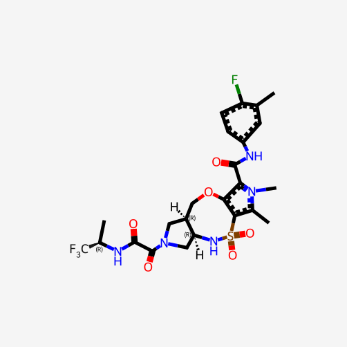 Cc1cc(NC(=O)c2c3c(c(C)n2C)S(=O)(=O)N[C@H]2CN(C(=O)C(=O)N[C@H](C)C(F)(F)F)C[C@H]2CO3)ccc1F